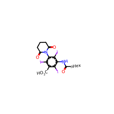 CCCCCCC(=O)Nc1c(I)c(C(=O)O)c(I)c(N2C(=O)CCCC2=O)c1I